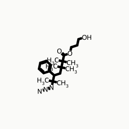 CC(C)(N=[N+]=[N-])C(CC(C)(C)C(C)(C)C(=O)OCCCO)c1ccccc1